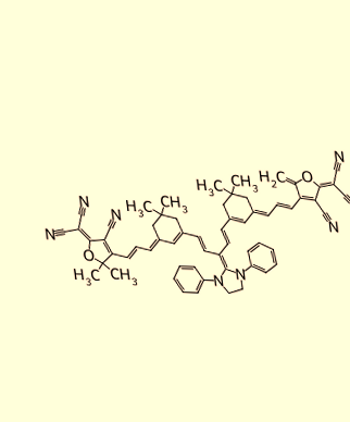 C=c1oc(=C(C#N)C#N)c(C#N)c1/C=C/C=C1C=C(/C=C/C(/C=C/C2=CC(=C/C=C/C3=C(C#N)C(=C(C#N)C#N)OC3(C)C)/CC(C)(C)C2)=C2N(c3ccccc3)CCN2c2ccccc2)CC(C)(C)C/1